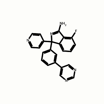 NC1=NC(c2ccncc2)(c2cccc(-c3cncnc3)c2)c2cccc(F)c21